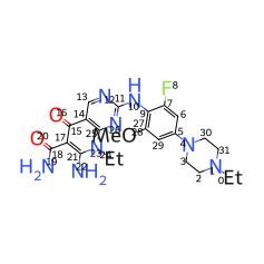 CCN1CCN(c2cc(F)c(Nc3ncc4c(=O)c(C(N)=O)c(N)n(CC)c4n3)c(OC)c2)CC1